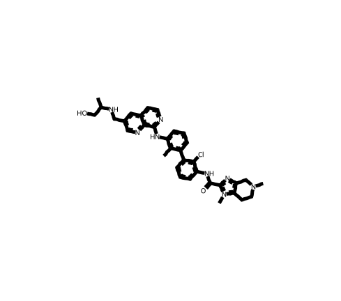 Cc1c(Nc2nccc3cc(CNC(C)CO)cnc23)cccc1-c1cccc(NC(=O)c2nc3c(n2C)CCN(C)C3)c1Cl